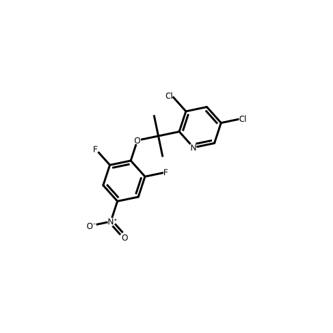 CC(C)(Oc1c(F)cc([N+](=O)[O-])cc1F)c1ncc(Cl)cc1Cl